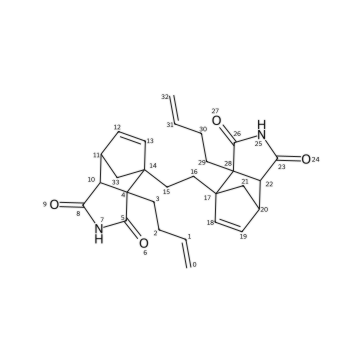 C=CCCC12C(=O)NC(=O)C1C1C=CC2(CCC23C=CC(C2)C2C(=O)NC(=O)C23CCC=C)C1